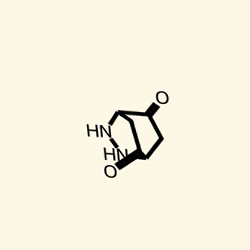 O=C1CC2NNC1CC2=O